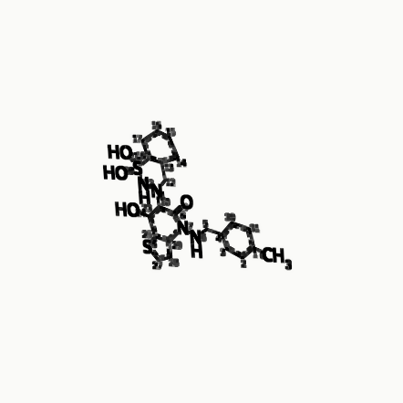 Cc1ccc(CNn2c(=O)c(N3Cc4ccccc4S(O)(O)N3)c(O)c3sccc32)cc1